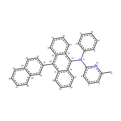 Cc1cccc(N(c2ccccc2)c2c3ccccc3c(-c3ccc4ccccc4c3)c3ccccc23)n1